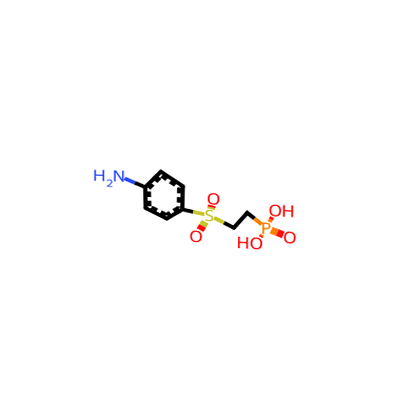 Nc1ccc(S(=O)(=O)CCP(=O)(O)O)cc1